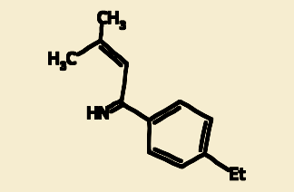 CCc1ccc(C(=N)C=C(C)C)cc1